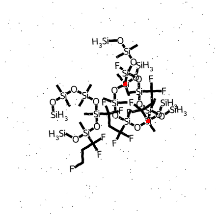 C[Si](C)(O[SiH3])O[Si](C)(C)O[Si](C)(O[Si](C)(O[SiH3])C(F)(F)CCF)C(F)(F)CC(F)(F)[Si](C)(O[Si](C)(C)O[Si](C)(C)O[SiH3])O[Si](C)(O[SiH3])C(F)(F)CC(F)(F)[Si](C)(O[Si](C)(C)O[SiH3])O[Si](C)(F)O[Si](C)(C)O[SiH3]